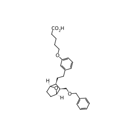 O=C(O)CCCCOc1cccc(CC[C@H]2[C@@H](COCc3ccccc3)[C@H]3CC[C@@H]2O3)c1